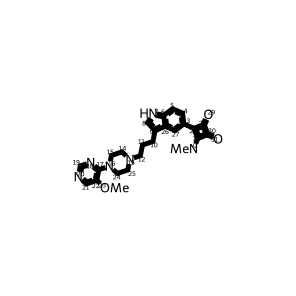 CNc1c(-c2ccc3[nH]cc(CCCN4CCN(c5ncncc5OC)CC4)c3c2)c(=O)c1=O